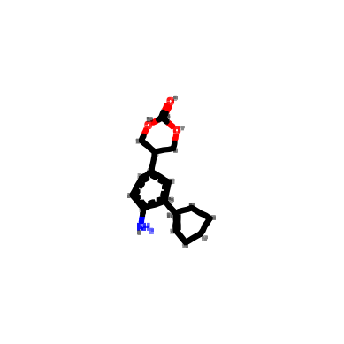 Nc1ccc(C2COC(=O)OC2)cc1C1=CCCCC1